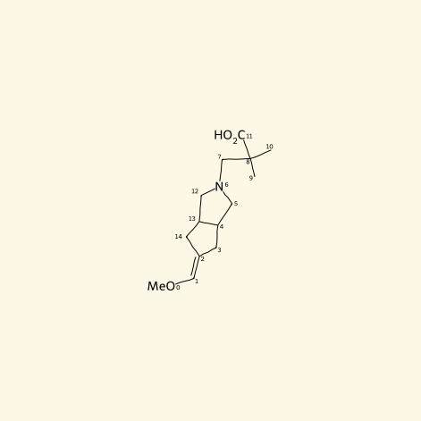 COC=C1CC2CN(CC(C)(C)C(=O)O)CC2C1